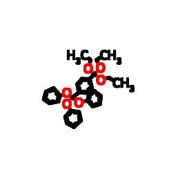 CCOC(OCC)(OCC)c1ccc(C(Oc2ccccc2)(Oc2ccccc2)Oc2ccccc2)cc1